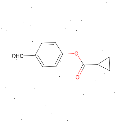 O=Cc1ccc(OC(=O)C2CC2)cc1